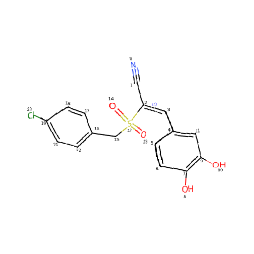 N#C/C(=C/c1ccc(O)c(O)c1)S(=O)(=O)Cc1ccc(Cl)cc1